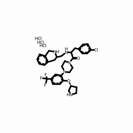 Cl.Cl.Cl.O=C(C(Cc1ccc(Cl)cc1)NCC1Cc2ccccc2CN1)N1CCN(c2cc(C(F)(F)F)ccc2O[C@H]2CCNC2)CC1